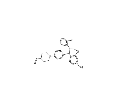 O=CC1CCN(c2ccc(C3c4ccc(O)cc4OCC3c3ccccc3F)cc2)CC1